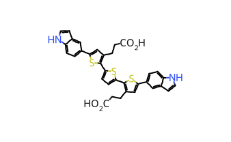 O=C(O)CCc1cc(-c2ccc3[nH]ccc3c2)sc1-c1ccc(-c2sc(-c3ccc4[nH]ccc4c3)cc2CCC(=O)O)s1